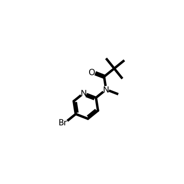 CN(C(=O)C(C)(C)C)c1ccc(Br)cn1